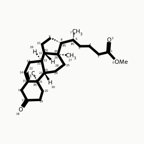 COC(=O)CCC[C@@H](C)[C@H]1CC[C@H]2[C@@H]3CC=C4CC(=O)CC[C@]4(C)[C@H]3CC[C@]12C